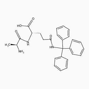 C[C@H](N)C(=O)N[C@@H](CCC(=O)NC(c1ccccc1)(c1ccccc1)c1ccccc1)C(=O)O